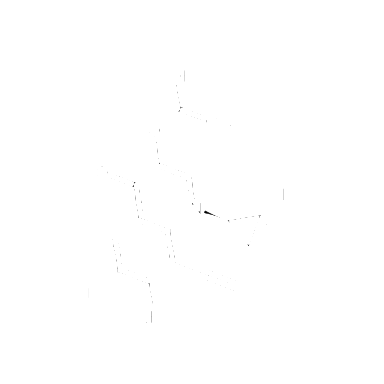 C#Cc1c(F)c(F)cc2c(=O)c(OC(=O)O)cn([C@@H]3C[C@H]3F)c12